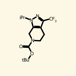 CC(C)n1nc(C(F)(F)F)c2c1CN(C(=O)OC(C)(C)C)CC2